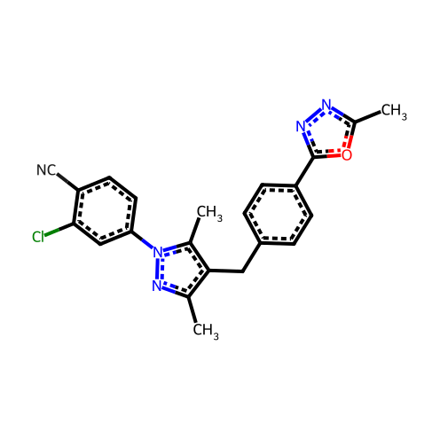 Cc1nnc(-c2ccc(Cc3c(C)nn(-c4ccc(C#N)c(Cl)c4)c3C)cc2)o1